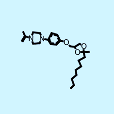 C=C(C)N1CCN(c2ccc(OCC3COC(C)(CCCCCCCC)O3)cc2)CC1